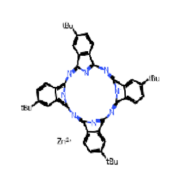 CC(C)(C)c1ccc2c(c1)-c1nc-2nc2[n-]c(nc3nc(nc4[n-]c(n1)c1ccc(C(C)(C)C)cc41)-c1ccc(C(C)(C)C)cc1-3)c1ccc(C(C)(C)C)cc21.[Zn+2]